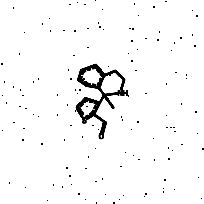 CC1(c2ccsc2C=O)NCCc2ccccc21